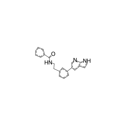 O=C(NCCc1cccc(-c2cnc3[nH]ccc3c2)c1)c1ccccc1